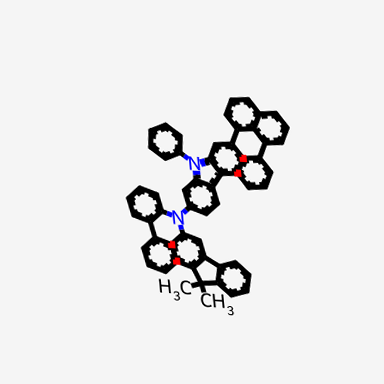 CC1(C)c2ccccc2-c2cc(N(c3ccc4c5ccc(-c6cccc7cccc(-c8ccccc8)c67)cc5n(-c5ccccc5)c4c3)c3ccccc3-c3ccccc3)ccc21